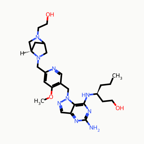 CCC[C@@H](CCO)Nc1nc(N)nc2cnn(Cc3cnc(CN4CC5C[C@@H]4CN5CCO)cc3OC)c12